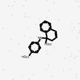 CCCCCCCCc1ccc(NC2(CCCCCCCC)CC=Cc3ccccc32)cc1